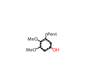 CCCCCc1cc(O)cc(OC)c1OC